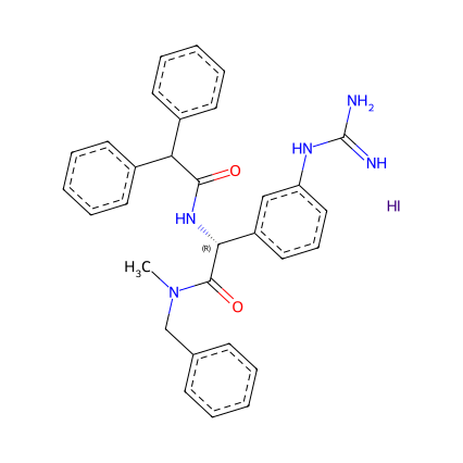 CN(Cc1ccccc1)C(=O)[C@H](NC(=O)C(c1ccccc1)c1ccccc1)c1cccc(NC(=N)N)c1.I